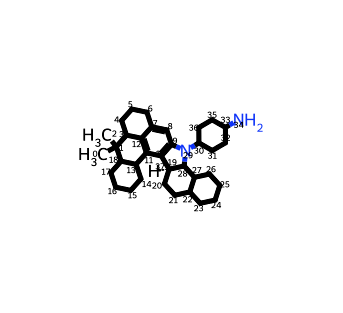 CC1(C)C2CCCc3cc4c(c(c32)C2CCCCC21)[C@@H]1CCC2CCCCC2C1N4C1CCC(N)CC1